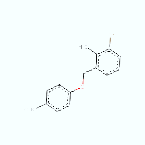 Cc1c(Br)cccc1COc1ccc(C=O)cc1